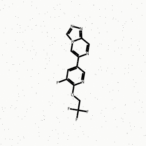 Fc1cc(-c2cn3cnnc3cn2)cnc1OCC(F)(F)F